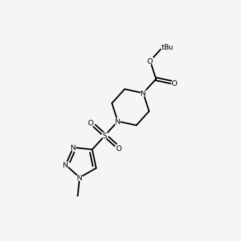 Cn1cc(S(=O)(=O)N2CCN(C(=O)OC(C)(C)C)CC2)nn1